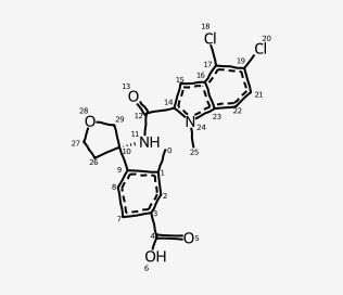 Cc1cc(C(=O)O)ccc1[C@@]1(NC(=O)c2cc3c(Cl)c(Cl)ccc3n2C)CCOC1